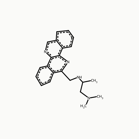 CC(CN(C)C)NCc1nc2c3ccccc3cnc2c2ccccc12